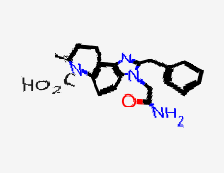 C[C@H]1CCc2c(ccc3c2nc(Cc2ccccc2)n3CC(N)=O)N1C(=O)O